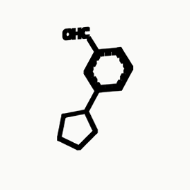 O=Cc1cccc(C2CCCC2)c1